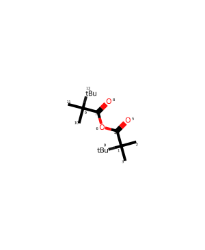 CC(C)(C)C(C)(C)C(=O)OC(=O)C(C)(C)C(C)(C)C